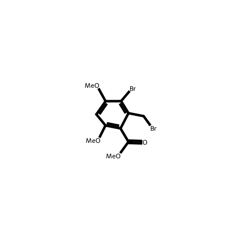 COC(=O)c1c(OC)cc(OC)c(Br)c1CBr